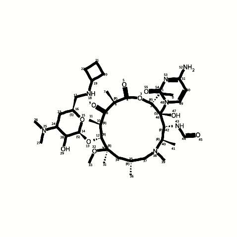 CC[C@H]1OC(=O)[C@H](C)C(=O)[C@H](C)[C@@H](O[C@@H]2O[C@H](CNC3CCC3)CC(N(C)C)C2O)[C@](C)(OC)C[C@@H](C)CN(C)[C@H](C)[C@@H](NC=O)[C@@]1(O)n1ccc(N)nc1=O